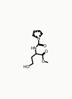 COC(=O)C(CCO)NC(=O)n1cccc1